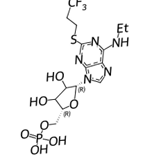 CCNc1nc(SCCC(F)(F)F)nc2c1ncn2[C@@H]1O[C@H](COP(=O)(O)O)C(O)C1O